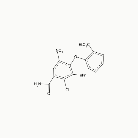 CCCc1c(Cl)c(C(N)=O)cc([N+](=O)[O-])c1Oc1ccccc1C(=O)OCC